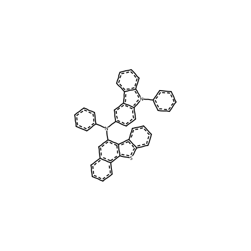 c1ccc(N(c2ccc3c(c2)c2ccccc2n3-c2ccccc2)c2cc3ccccc3c3sc4ccccc4c23)cc1